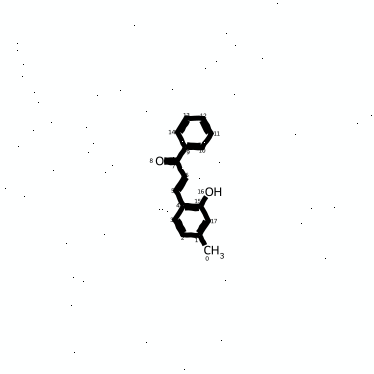 Cc1ccc(C=CC(=O)c2ccccc2)c(O)c1